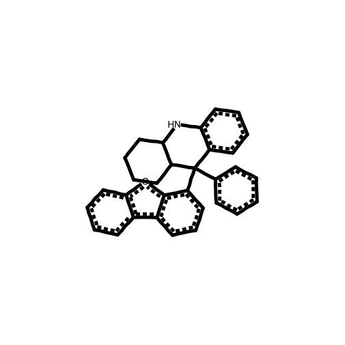 c1ccc(C2(c3cccc4c3oc3ccccc34)c3ccccc3NC3CCCCC32)cc1